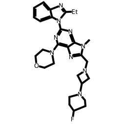 CCc1nc2ccccc2n1-c1nc(N2CCOCC2)c2nc(CN3CC(N4CCC(F)CC4)C3)n(C)c2n1